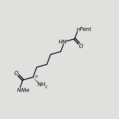 CCCCCC(=O)NCCCC[C@H](N)C(=O)NC